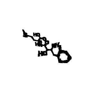 CSCC[C@H](NC(=O)C(O)C(N)Cc1ccccc1)C(=O)O